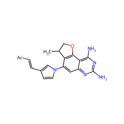 CC(=O)C=Cc1ccn(-c2cc3nc(N)nc(N)c3c3c2C(C)CO3)c1